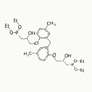 CCOP(CC(O)COc1ccc(C)cc1Cc1cc(C)ccc1OCC(O)CP(OCC)OCC)OCC